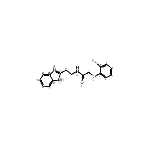 O=C(COc1ccccc1F)NCCc1nc2ccccc2[nH]1